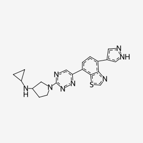 c1nc2c(-c3cn[nH]c3)ccc(-c3cnc(N4CCC(NC5CC5)C4)nn3)c2s1